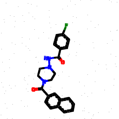 O=C(NN1CCN(C(=O)c2ccc3ccccc3c2)CC1)c1ccc(F)cc1